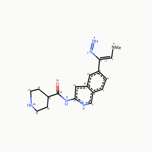 CN/C=C(\N=N)c1ccc2cnc(NC(=O)C3CCNCC3)cc2c1